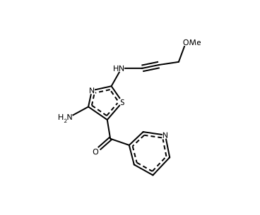 COCC#CNc1nc(N)c(C(=O)c2cccnc2)s1